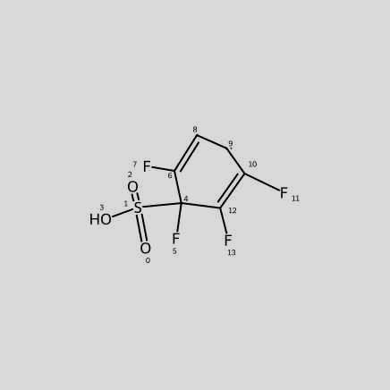 O=S(=O)(O)C1(F)C(F)=C[CH]C(F)=C1F